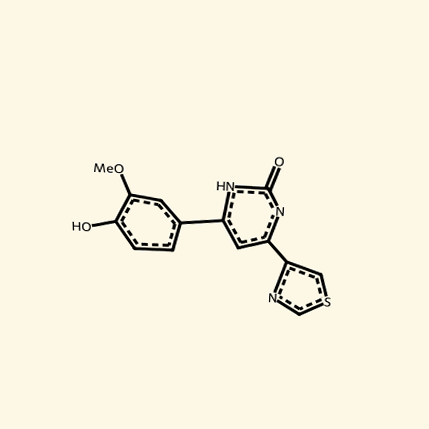 COc1cc(-c2cc(-c3cscn3)nc(=O)[nH]2)ccc1O